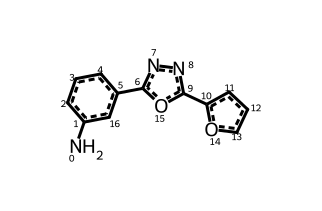 Nc1cccc(-c2nnc(-c3ccco3)o2)c1